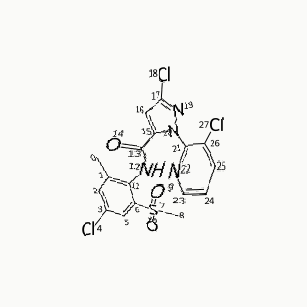 Cc1cc(Cl)cc(S(C)(=O)=O)c1NC(=O)c1cc(Cl)nn1-c1ncccc1Cl